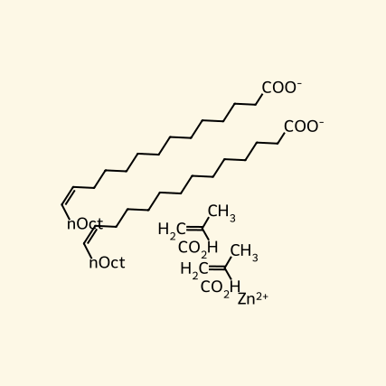 C=C(C)C(=O)O.C=C(C)C(=O)O.CCCCCCCC/C=C\CCCCCCCCCCCC(=O)[O-].CCCCCCCC/C=C\CCCCCCCCCCCC(=O)[O-].[Zn+2]